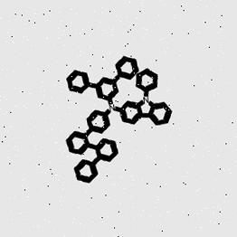 c1ccc(-c2cc(-c3ccccc3)cc(N(c3ccc(-c4ccccc4-c4ccccc4-c4ccccc4)cc3)c3ccc4c5ccccc5n(-c5ccccc5)c4c3)c2)cc1